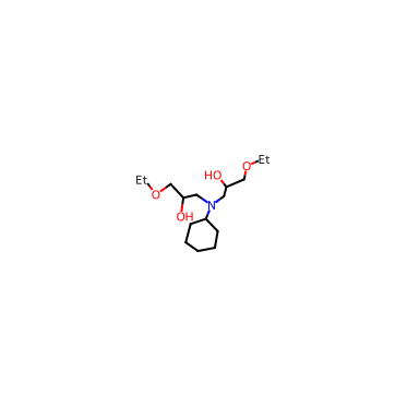 CCOCC(O)CN(CC(O)COCC)C1CCCCC1